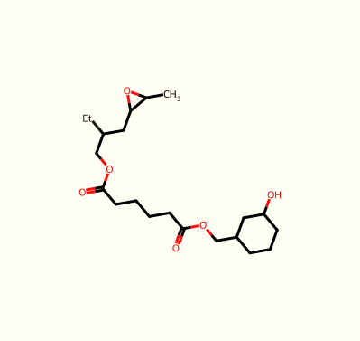 CCC(COC(=O)CCCCC(=O)OCC1CCCC(O)C1)CC1OC1C